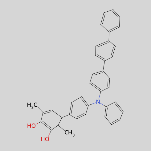 CC1=CC(c2ccc(N(c3ccccc3)c3ccc(-c4ccc(-c5ccccc5)cc4)cc3)cc2)C(C)C(O)=C1O